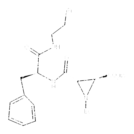 CCOC(=O)[C@@H]1[C@@H](C(=O)N[C@@H](Cc2ccccc2)C(=O)NCCC(C)C)N1CC